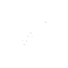 CC=CCCC1CCC2c3cc(F)c(-c4ccc(OC(F)(F)F)cc4)c(F)c3CCC2C1